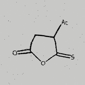 CC(=O)C1CC(=O)OC1=S